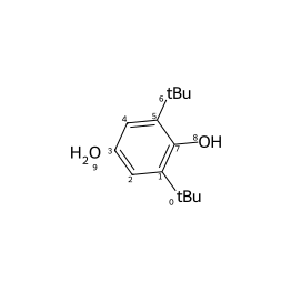 CC(C)(C)c1cccc(C(C)(C)C)c1O.O